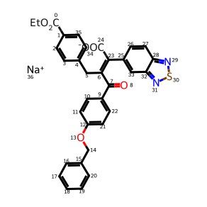 CCOC(=O)c1ccc(CC(C(=O)c2ccc(OCc3ccccc3)cc2)=C(C(=O)[O-])c2ccc3nsnc3c2)cc1.[Na+]